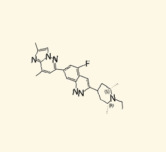 CCN1[C@H](C)CC(c2cc3c(F)cc(-c4cc(C)c5nc(C)cn5n4)cc3nn2)C[C@@H]1C